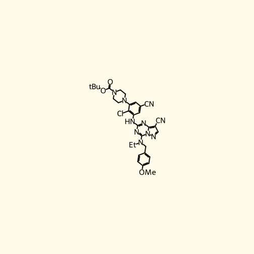 CCN(Cc1ccc(OC)cc1)c1nc(Nc2cc(C#N)cc(N3CCN(C(=O)OC(C)(C)C)CC3)c2Cl)nc2c(C#N)cnn12